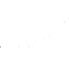 C=CC(=O)OCCCCOC(=O)C1CCC(C(=O)Oc2ccc(OC(=O)C3CCC(C(=O)Oc4ccc(OC(=O)C5CCC(C(=O)OCCCCOC(=O)C=C)C(C(C)O)C5)c(C(=O)O)c4)CC3)cc2C(=O)OCCOCC)CC1